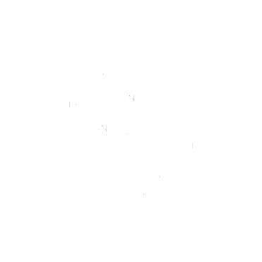 COc1ccccc1-c1cnc(Cl)c(C)n1